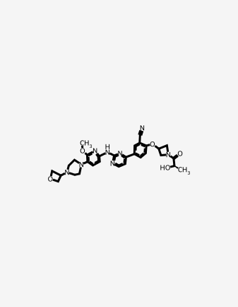 COc1nc(Nc2nccc(-c3ccc(OC4CN(C(=O)[C@@H](C)O)C4)c(C#N)c3)n2)ccc1N1CCN(C2COC2)CC1